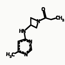 CCC(=O)N1CC(Nc2cc(C)ncn2)C1